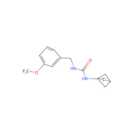 O=C(NCc1cccc(OC(F)(F)F)c1)NC12CC(C1)C2